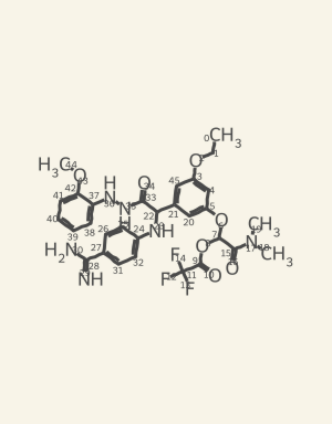 CCOc1cc(OC(OC(=O)C(F)(F)F)C(=O)N(C)C)cc(C(Nc2ccc(C(=N)N)cc2)C(=O)NNc2ccccc2OC)c1